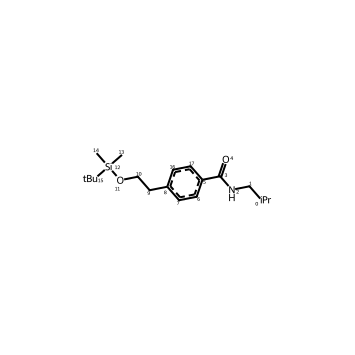 CC(C)CNC(=O)c1ccc(CCO[Si](C)(C)C(C)(C)C)cc1